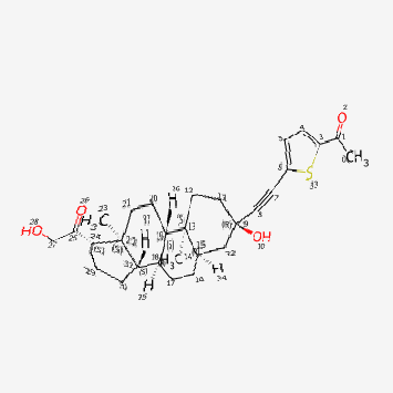 CC(=O)c1ccc(C#C[C@@]2(O)CC[C@@]3(C)[C@H](CC[C@@H]4[C@@H]3CC[C@]3(C)[C@@H](C(=O)CO)CC[C@@H]43)C2)s1